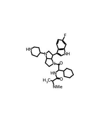 CNC(C)C(=O)NC(C(=O)N1CCC2C1C(c1c[nH]c3cc(F)ccc13)CN2C1CCNCC1)C1CCCCC1